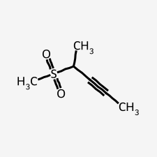 CC#CC(C)S(C)(=O)=O